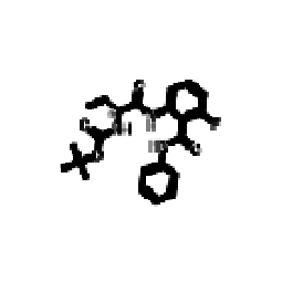 CC[C@H](NC(=O)OC(C)(C)C)C(=O)Nc1cccc(F)c1C(=O)Nc1ccccc1